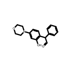 O=CC(c1ccccc1)c1ccc(N2CCOCC2)cc1O